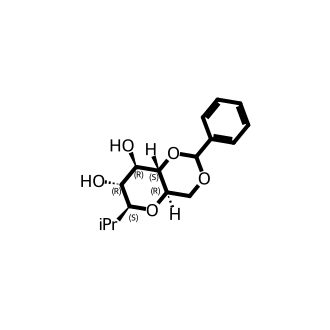 CC(C)[C@@H]1O[C@@H]2COC(c3ccccc3)O[C@H]2[C@H](O)[C@H]1O